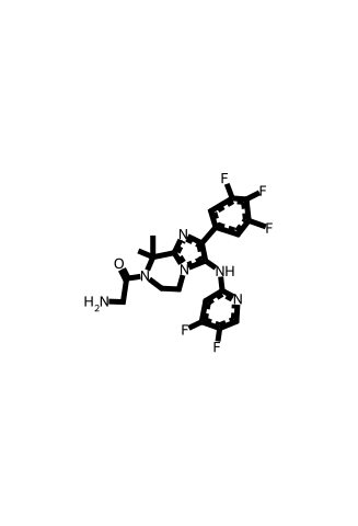 CC1(C)c2nc(-c3cc(F)c(F)c(F)c3)c(Nc3cc(F)c(F)cn3)n2CCN1C(=O)CN